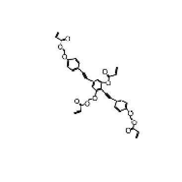 C=CC(=O)OCOc1ccc(C#Cc2cc(OCOC(=O)C=C)c(C#Cc3ccc(OCOC(=O)C=C)cc3)c(OC(=O)C=C)c2)cc1